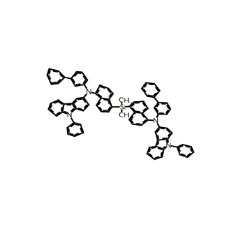 C[Si](C)(c1cccc2c(N(c3cccc(-c4ccccc4)c3)c3ccc4c(c3)c3ccccc3n4-c3ccccc3)cccc12)c1cccc2c(N(c3cccc(-c4ccccc4)c3)c3ccc4c(c3)c3ccccc3n4-c3ccccc3)cccc12